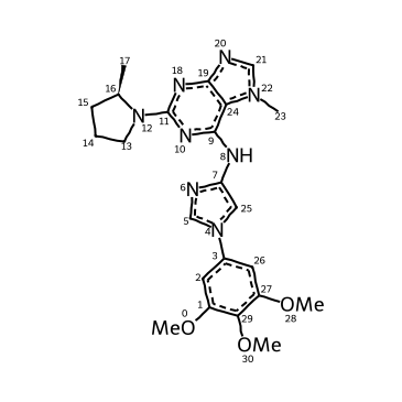 COc1cc(-n2cnc(Nc3nc(N4CCC[C@H]4C)nc4ncn(C)c34)c2)cc(OC)c1OC